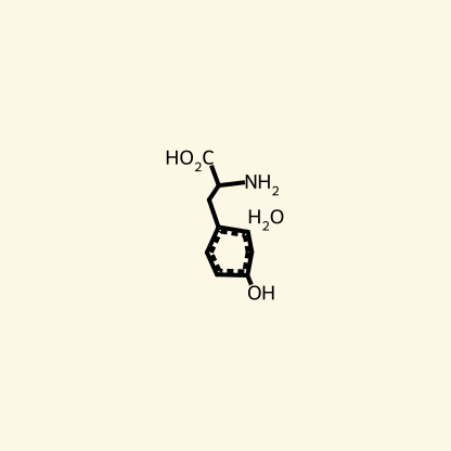 NC(Cc1ccc(O)cc1)C(=O)O.O